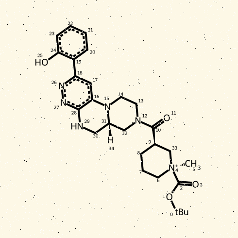 CC(C)(C)OC(=O)[N@@+]1(C)CCC[C@@H](C(=O)N2CCN3c4cc(-c5ccccc5O)nnc4NC[C@H]3C2)C1